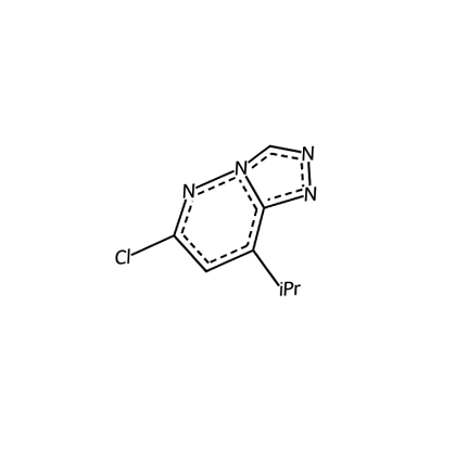 CC(C)c1cc(Cl)nn2cnnc12